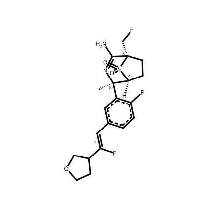 C[C@]1(c2cc(/C=C(\F)C3CCOC3)ccc2F)N=C(N)[C@@]2(CF)CC[C@@H]1S2(=O)=O